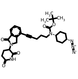 CC(C)(C)OC(=O)N(CCCC#Cc1cccc2c1CN(C1CCC(=O)NC1=O)C2=O)[C@H]1CC[C@@H](N=[N+]=[N-])CC1